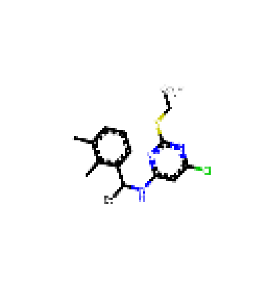 CCC(Nc1cc(Cl)nc(SCC(=O)O)n1)c1cccc(C)c1C